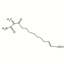 C=C(C(N)=O)C(=O)CCCCCCCC=CCCCCCCCC